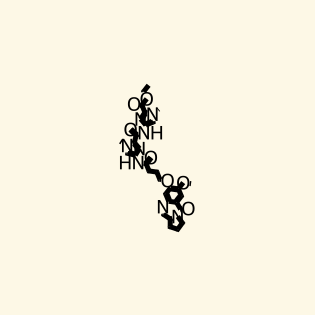 CCOC(=O)c1nc(NC(=O)c2nc(NC(=O)CCCOc3cc4c(cc3OC)C(=O)N3CCCC3C=N4)cn2C)cn1C